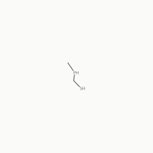 CPCS